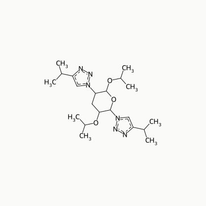 CC(C)OC1CC(n2cc(C(C)C)nn2)C(OC(C)C)OC1n1cc(C(C)C)nn1